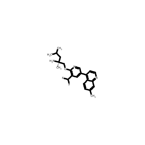 Cc1ccc2c(-c3cnc(OC[C@@](C)(N)CC(C)C)c(C(F)F)c3)ccnc2c1